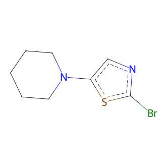 Brc1ncc(N2CCCCC2)s1